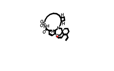 C=CC1=C(/C=C\C)[C@]2(CCC1)COc1ccc3nc1N(C[C@@H]1CC[C@H]1CCCCCCS(=O)(=O)NC3=O)C2